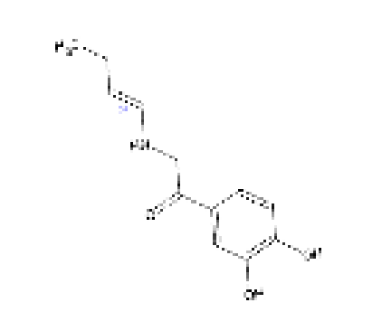 CC/C=C/NCC(=O)c1ccc(O)c(O)c1